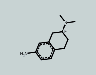 CN(C)[C@H]1CCc2ccc(N)cc2C1